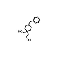 OCCC1(CO)CCN(Cc2ccccc2)CC1